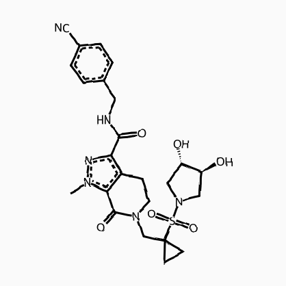 Cn1nc(C(=O)NCc2ccc(C#N)cc2)c2c1C(=O)N(CC1(S(=O)(=O)N3C[C@H](O)[C@@H](O)C3)CC1)CC2